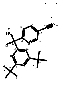 CC(C)(C)c1cc(C(C)(C)C)cc(C(C)(O)c2ccc(C#N)cc2)c1